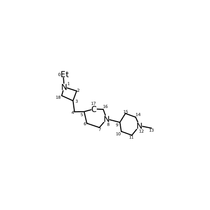 CCN1CC(CC2CCN(C3CCN(C)CC3)CC2)C1